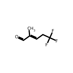 C/C(C=O)=C\CC(F)(F)F